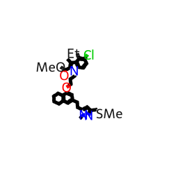 CCc1c(Cl)ccc2c1c(C)c(C(=O)OC)n2CCCOc1cc(CCc2cc(CSC)nn2C)cc2c1CCCC2